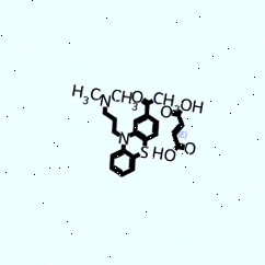 CC(=O)c1ccc2c(c1)N(CCCN(C)C)c1ccccc1S2.O=C(O)/C=C/C(=O)O